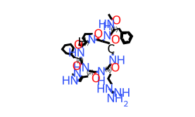 CC(=O)N[C@@H](Cc1ccccc1)C(=O)NC1CCCNC(=O)[C@H](CCCNC(=N)N)NC(=O)[C@H](Cc2c[nH]cn2)NC(=O)[C@@H](CC2CCCCC2)NC(=O)[C@@H]2CCCN2C1=O